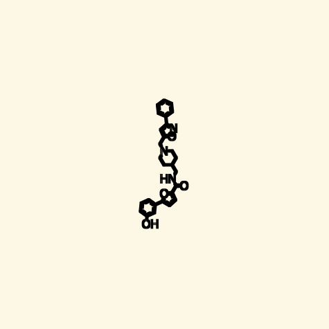 O=C(NCC1CCN(Cc2cc(-c3ccccc3)no2)CC1)c1ccc(-c2cccc(O)c2)o1